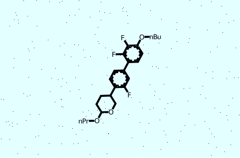 CCCCOc1ccc(-c2ccc(C3CCC(OCCC)OC3)c(F)c2)c(F)c1F